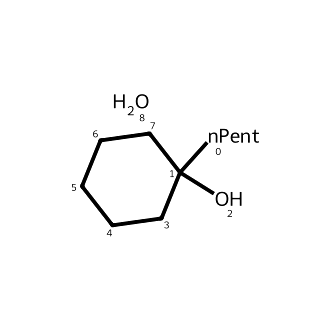 CCCCCC1(O)CCCCC1.O